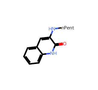 CCCCCNc1cc2ccccc2[nH]c1=O